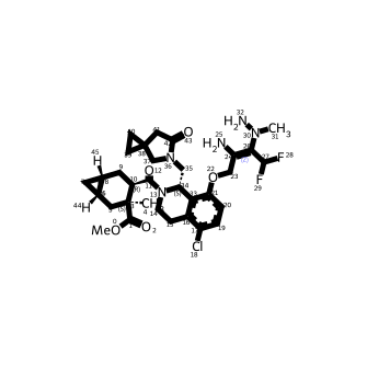 COC(=O)[C@@]1(C)C[C@@H]2C[C@@H]2C[C@H]1C(=O)N1CCc2c(Cl)ccc(OC/C(N)=C(\C(F)F)N(C)N)c2[C@H]1CN1CC2(CC2)CC1=O